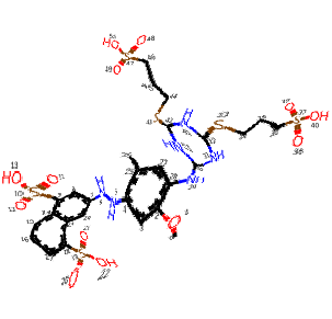 COc1cc(NNc2cc(S(=O)(=O)O)c3cccc(S(=O)(=O)O)c3c2)c(C)cc1NC1NC(SCCCS(=O)(=O)O)NC(SCCCS(=O)(=O)O)N1